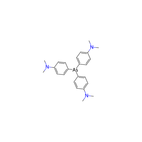 CN(C)c1ccc([As](c2ccc(N(C)C)cc2)c2ccc(N(C)C)cc2)cc1